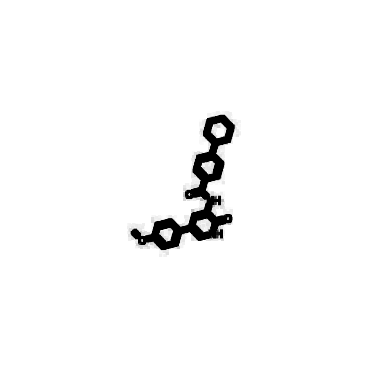 COc1ccc(-c2c[nH]c(=O)c(NC(=O)c3ccc(C4CCCCC4)cc3)c2)cc1